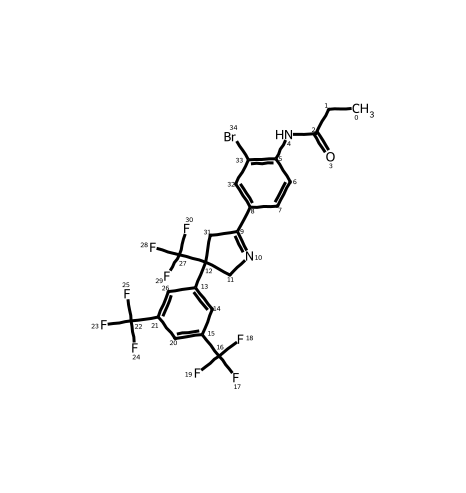 CCC(=O)Nc1ccc(C2=NCC(c3cc(C(F)(F)F)cc(C(F)(F)F)c3)(C(F)(F)F)C2)cc1Br